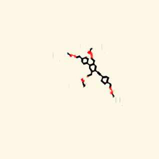 C=CC(=O)O/C=C/c1ccc(C#Cc2cc(/C=C/OC(=O)C(=C)C)c(-c3ccc(/C=C/OC(=O)C=C)cc3)cc2/C=C/OC(=O)C(=C)C)cc1